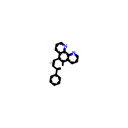 C=C(/C=C\c1c(C)c2cccnc2c2ncccc12)c1ccccc1